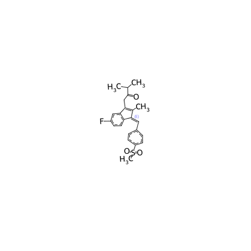 CC1=C(CC(=O)C(C)C)c2cc(F)ccc2/C1=C\c1ccc(S(C)(=O)=O)cc1